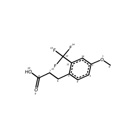 COc1ccc(CCC(=O)O)c(C(F)(F)F)c1